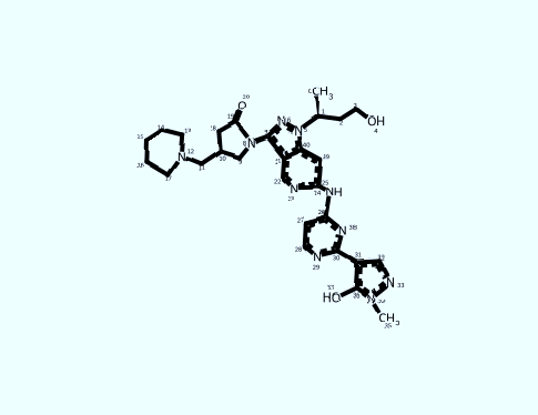 C[C@@H](CCO)n1nc(N2CC(CN3CCCCC3)CC2=O)c2cnc(Nc3ccnc(-c4cnn(C)c4O)n3)cc21